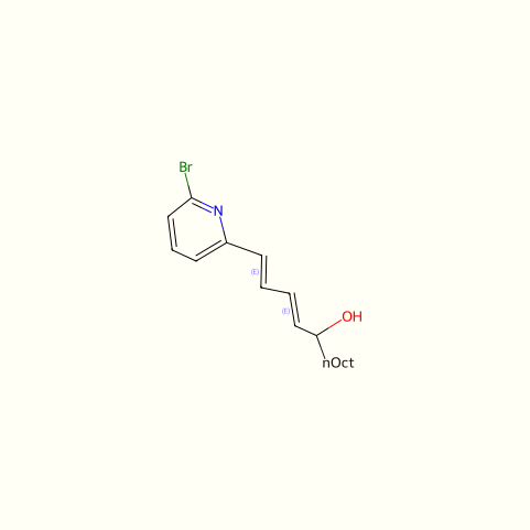 CCCCCCCCC(O)/C=C/C=C/c1cccc(Br)n1